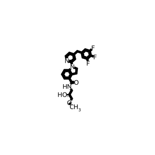 COC[C@@H](O)CNC(=O)c1cccc2c1CCN2c1cc(Cc2cc(F)c(F)c(F)c2)ccn1